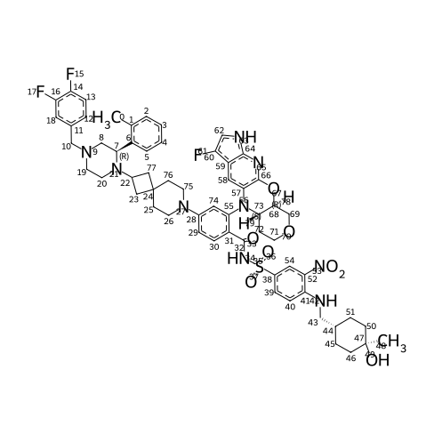 Cc1ccccc1[C@@H]1CN(Cc2ccc(F)c(F)c2)CCN1C1CC2(CCN(c3ccc(C(=O)NS(=O)(=O)c4ccc(NC[C@H]5CC[C@](C)(O)CC5)c([N+](=O)[O-])c4)c(N4c5cc6c(F)c[nH]c6nc5O[C@H]5COCC[C@@H]54)c3)CC2)C1